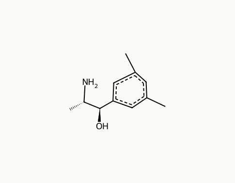 Cc1cc(C)cc([C@@H](O)[C@H](C)N)c1